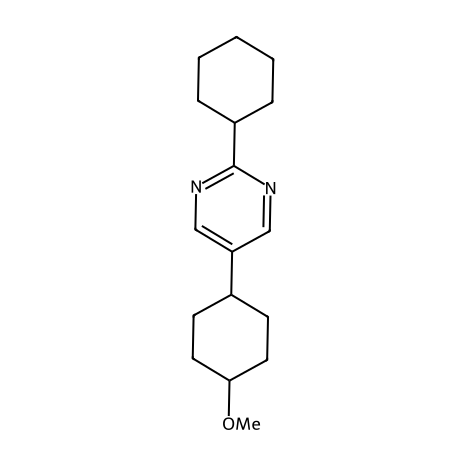 COC1CCC(c2cnc(C3CCCCC3)nc2)CC1